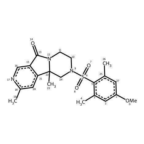 COc1cc(C)c(S(=O)(=O)N2CCN3C(=O)c4cnc(C)cc4C3(C)C2)c(C)c1